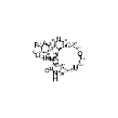 COc1c(F)cccc1Nc1c2[nH]c3c1C(=O)NCC3CCOCCOCCOc1cnccc1-2